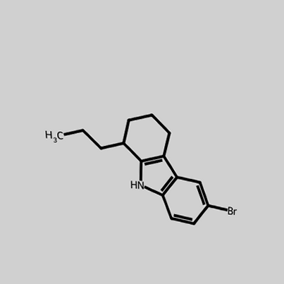 CCCC1CCCc2c1[nH]c1ccc(Br)cc21